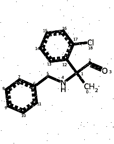 [CH2]C(C=O)(NCc1ccccc1)c1ccccc1Cl